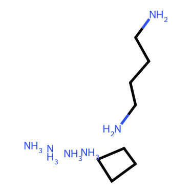 C1CCC1.N.N.N.N.NCCCCN